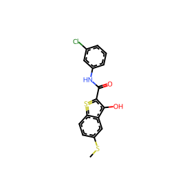 CSc1ccc2sc(C(=O)Nc3cccc(Cl)c3)c(O)c2c1